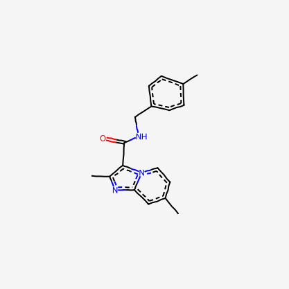 Cc1ccc(CNC(=O)c2c(C)nc3cc(C)ccn23)cc1